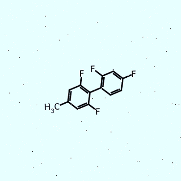 Cc1cc(F)c(-c2ccc(F)[c]c2F)c(F)c1